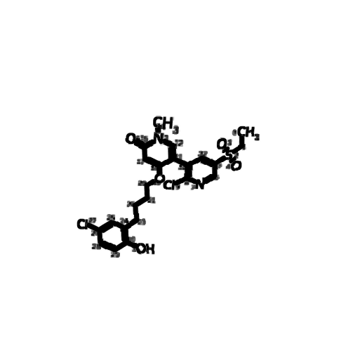 CCS(=O)(=O)c1cnc(Cl)c(-c2cn(C)c(=O)cc2OCCCCc2cc(Cl)ccc2O)c1